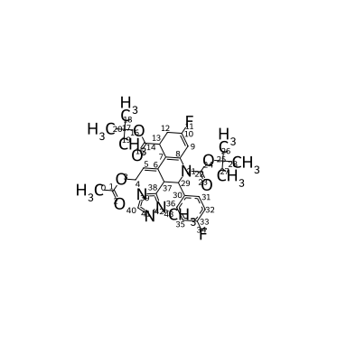 CC(=O)OC/C=C1/C2=C(C=C(F)CC2C(=O)OC(C)(C)C)N(C(=O)OC(C)(C)C)C(c2ccc(F)cc2)C1c1ncnn1C